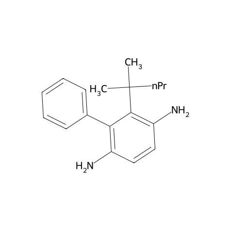 CCCC(C)(C)c1c(N)ccc(N)c1-c1ccccc1